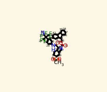 CS(=O)(=O)c1ccc2c(C(=O)Nc3ccc(C(C#N)(C(F)(F)F)C(F)(F)F)cc3)n(C(=O)OCC3c4ccccc4-c4ccccc43)cc2c1